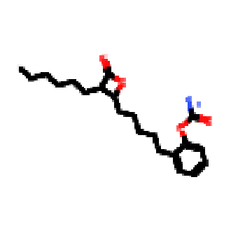 CCCCCCC1C(=O)OC1CCCCCc1ccccc1OC(N)=O